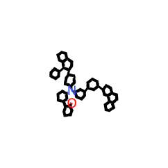 c1ccc(-c2c(-c3ccc(N(c4cccc(-c5cccc(-c6ccc7ccc8ccccc8c7c6)c5)c4)c4cccc5c4oc4ccccc45)cc3)ccc3ccccc23)cc1